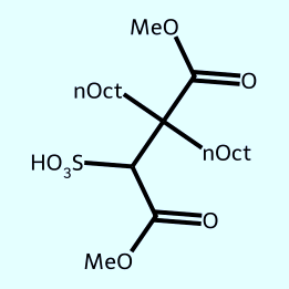 CCCCCCCCC(CCCCCCCC)(C(=O)OC)C(C(=O)OC)S(=O)(=O)O